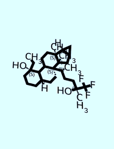 CC[C@]1(O)CCC[C@H]2CC[C@]3([C@H](C)CC[C@](C)(O)C(F)(F)F)C(CC[C@@]4(C)[C@H]5CC5C[C@@]43C)C21